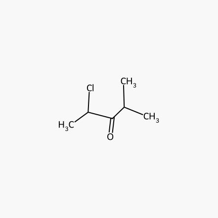 CC(C)C(=O)C(C)Cl